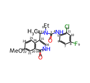 CCN(C(=O)Nc1ccc(F)cc1Cl)C(C)c1c[nH]c(=O)c2cc(OC)ccc12